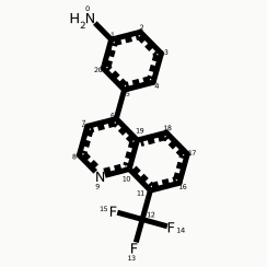 Nc1cccc(-c2[c]cnc3c(C(F)(F)F)cccc23)c1